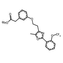 COC(=O)Cc1cccc(OCCc2nc(-c3ccccc3OC(F)(F)F)oc2C)c1